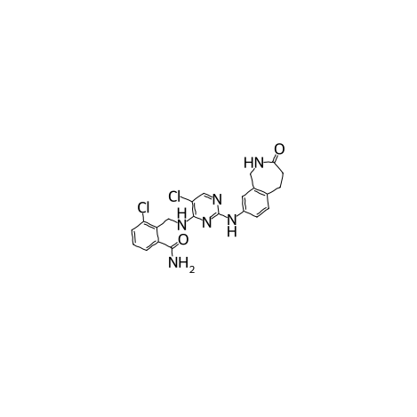 NC(=O)c1cccc(Cl)c1CNc1nc(Nc2ccc3c(c2)CNC(=O)CC3)ncc1Cl